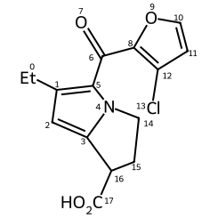 CCc1cc2n(c1C(=O)c1occc1Cl)CCC2C(=O)O